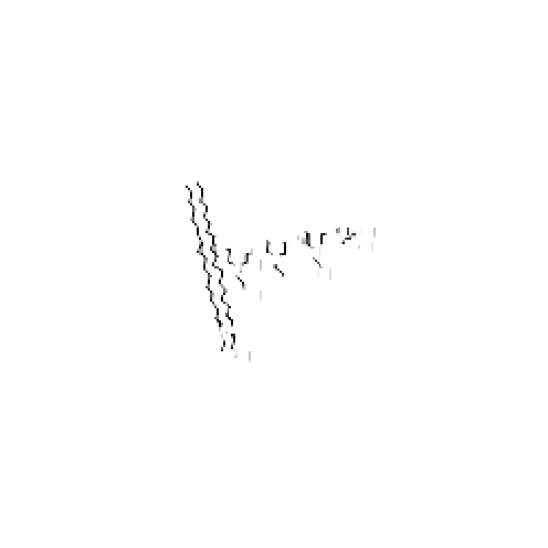 CCCCCCCCCCCCCCCCC=COCCO.CCCCCCCCCCCCCCCCC=COCCO.O=P(O)(O)O.OCCN(CCO)CCO.OCCN(CCO)CCO.OCCN(CCO)CCO